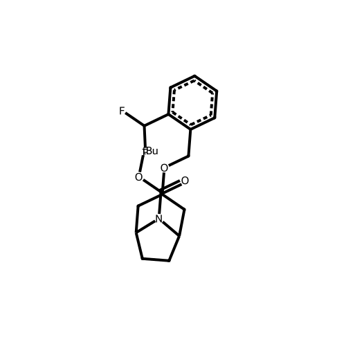 CC(C)(C)OC(=O)N1C2CCC1CC(OCc1ccccc1C(F)F)C2